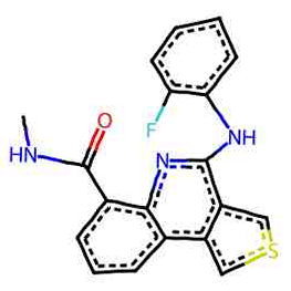 CNC(=O)c1cccc2c1nc(Nc1ccccc1F)c1cscc12